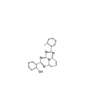 Cc1ccccc1C1=NC2=NC(c3ccccc3S)=NC3=CC=CC(=N1)N32